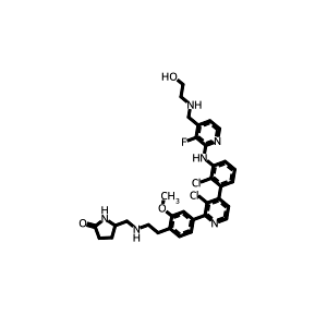 COc1cc(-c2nccc(-c3cccc(Nc4nccc(CNCCO)c4F)c3Cl)c2Cl)ccc1CCNCC1CCC(=O)N1